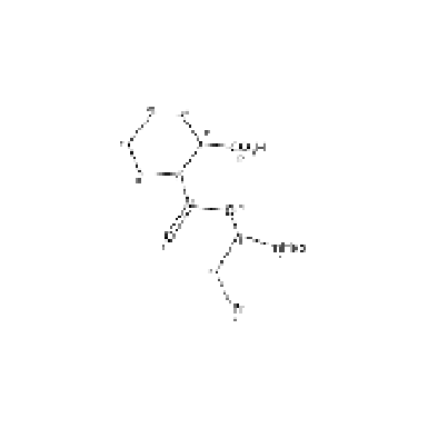 CCCCCCC(CC(C)C)OC(=O)C1CCCCC1C(=O)O